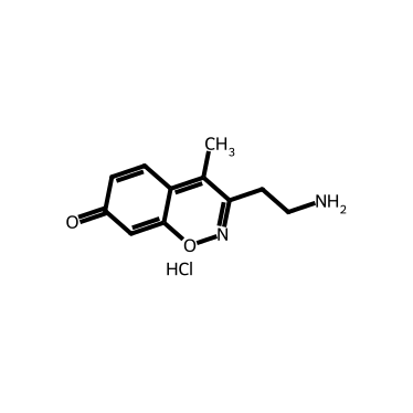 Cc1c2ccc(=O)cc-2onc1CCN.Cl